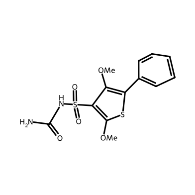 COc1sc(-c2ccccc2)c(OC)c1S(=O)(=O)NC(N)=O